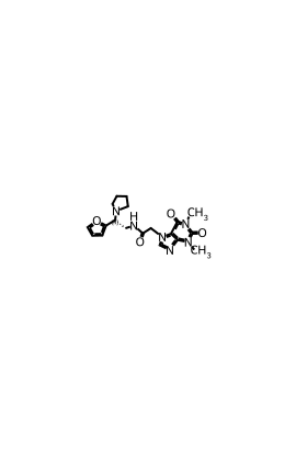 Cn1c(=O)c2c(ncn2CC(=O)NC[C@H](c2ccco2)N2CCCC2)n(C)c1=O